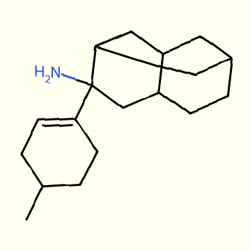 CC1CC=C(C2(N)CC3CCC4CC3CC2C4)CC1